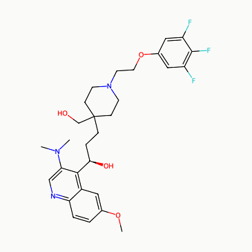 COc1ccc2ncc(N(C)C)c([C@H](O)CCC3(CO)CCN(CCOc4cc(F)c(F)c(F)c4)CC3)c2c1